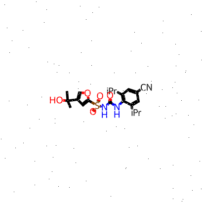 CC(C)c1cc(C#N)cc(C(C)C)c1NC(=O)NS(=O)(=O)c1cc(C(C)(C)O)co1